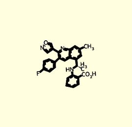 Cc1cc([C@H](C)Nc2ccccc2C(=O)O)c2cc(-c3ccc(F)cc3)c(-c3cnoc3)nc2c1